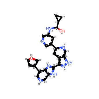 OC(Nc1cncc(-c2cc3c(-c4nc5c(-c6ccoc6)cncc5[nH]4)n[nH]c3cn2)c1)C1CC1